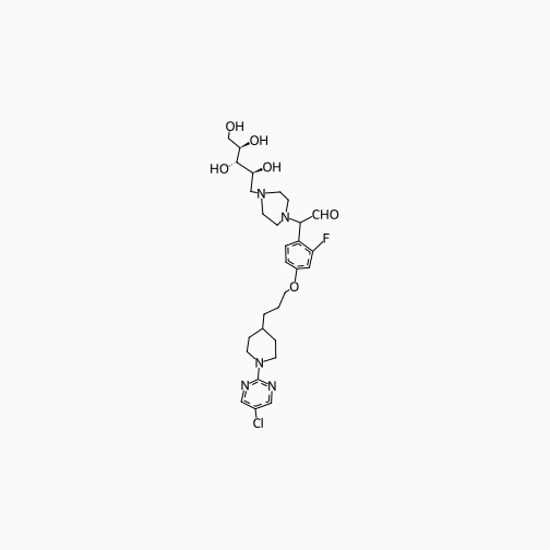 O=CC(c1ccc(OCCCC2CCN(c3ncc(Cl)cn3)CC2)cc1F)N1CCN(C[C@H](O)[C@H](O)[C@H](O)CO)CC1